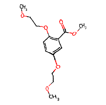 COCCOc1ccc(OCCOC)c(C(=O)OC)c1